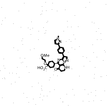 COCCO[C@]1(C(=O)O)CC[C@@H](c2nc3c(-c4ccc(-c5ccn(C)n5)cc4)cnn3c3c2C(=O)CCN3)CC1